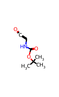 CC(C)(C)OC(=O)NC=C=O